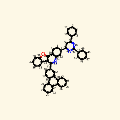 c1ccc(-c2cc(-c3ccc4c(c3)nc(-c3ccc5c6ccccc6c6ccccc6c5c3)c3c5ccccc5oc43)nc(-c3ccccc3)n2)cc1